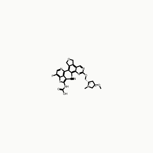 CO[C@@H]1C[C@@H](COc2ncc3c4c(c(-c5ncc(F)c6sc(NC(=O)O)c(C#N)c56)c(F)c3n2)COC4)N(C)C1